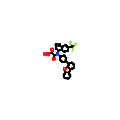 CCC(c1ccc(C(F)(F)F)cc1)N(C(=O)C(=O)O)c1ccc(-c2cccc3c2oc2ccccc23)cc1